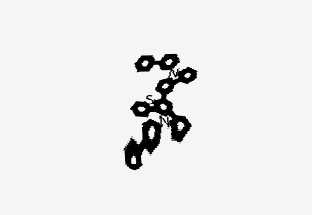 c1ccc(-c2ccc(-n3c4ccccc4c4cc(-c5ccc6c(c5)c5ccccc5n6-c5cccc(-c6ccccc6)c5)c5sc6ccccc6c5c43)cc2)cc1